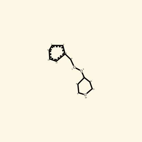 c1ccc(COOC2CCOCC2)cc1